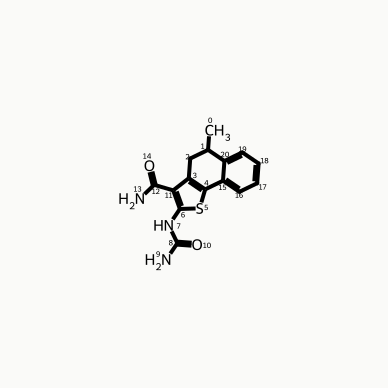 CC1Cc2c(sc(NC(N)=O)c2C(N)=O)-c2ccccc21